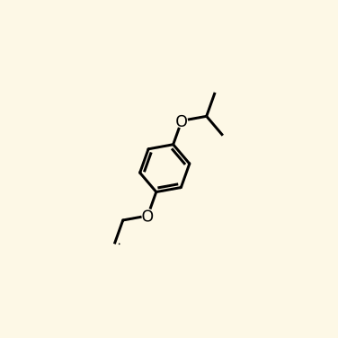 [CH2]COc1ccc(OC(C)C)cc1